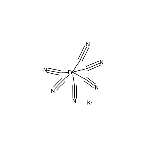 N#[C][Fe]([C]#N)([C]#N)([C]#N)([C]#N)[C]#N.[K]